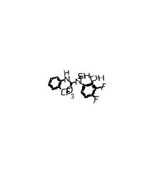 O=C(Nc1ccccc1C(F)(F)F)N(S)c1ccc(F)c(F)c1O